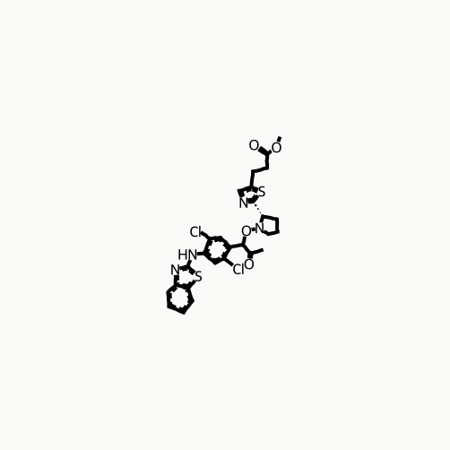 COC(=O)CCc1cnc([C@@H]2CCCN2OC(C(C)=O)c2cc(Cl)c(Nc3nc4ccccc4s3)cc2Cl)s1